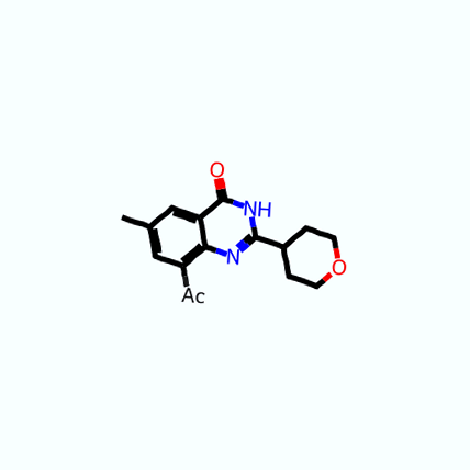 CC(=O)c1cc(C)cc2c(=O)[nH]c(C3CCOCC3)nc12